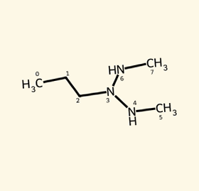 CCCN(NC)NC